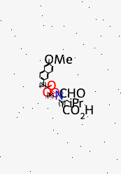 COc1ccc2cc([C@H](C)C(=O)O[C@@H](C)ON(C=O)C[C@H](CC(=O)O)CC(C)C)ccc2c1